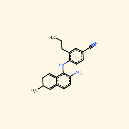 CCCc1cc(C#N)ccc1Nc1c(N)ccc2c1=CCC(C)C=2